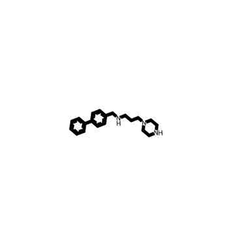 c1ccc(-c2ccc(CNCCCN3CCNCC3)cc2)cc1